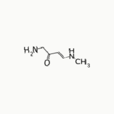 CN/C=C/C(=O)CN